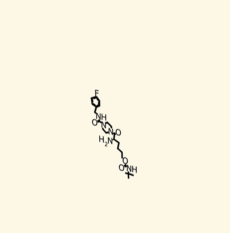 CC(C)(C)NC(=O)OCCCC[C@@H](N)C(=O)N1CCN(C(=O)NCc2ccc(F)cc2)CC1